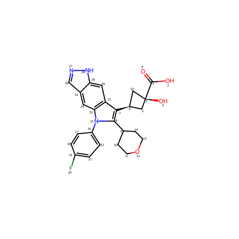 O=C(O)[C@]1(O)C[C@@H](c2c(C3CCOCC3)n(-c3ccc(F)cc3)c3cc4cn[nH]c4cc32)C1